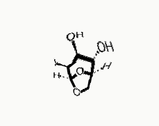 O[C@H]1[C@H](O)[C@H]2CO[C@H](O2)[C@H]1I